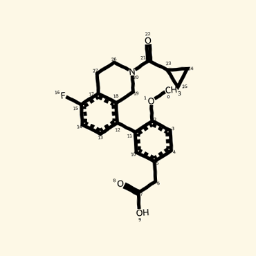 COc1ccc(CC(=O)O)cc1-c1ccc(F)c2c1CN(C(=O)C1CC1)CC2